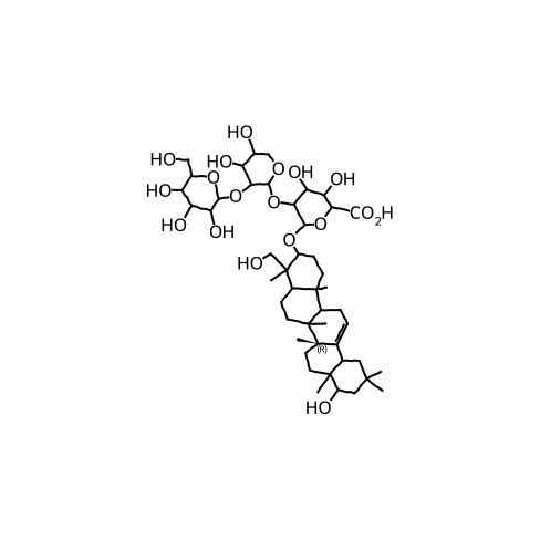 CC1(C)CC(O)C2(C)CC[C@@]3(C)C(=CCC4C5(C)CCC(OC6OC(C(=O)O)C(O)C(O)C6OC6OCC(O)C(O)C6OC6OC(CO)C(O)C(O)C6O)C(C)(CO)C5CCC43C)C2C1